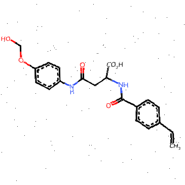 C=Cc1ccc(C(=O)NC(CC(=O)Nc2ccc(OCO)cc2)C(=O)O)cc1